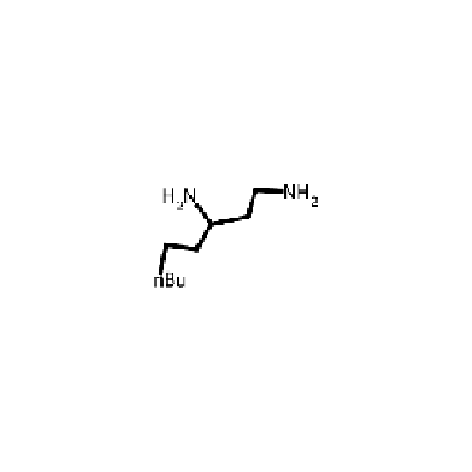 CCCCCCC(N)CCN